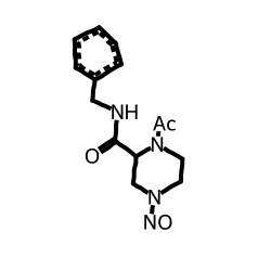 CC(=O)N1CCN(N=O)CC1C(=O)NCc1ccccc1